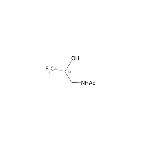 CC(=O)NC[C@@H](O)C(F)(F)F